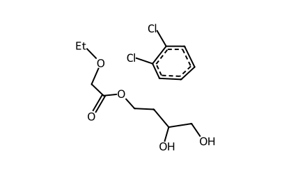 CCOCC(=O)OCCC(O)CO.Clc1ccccc1Cl